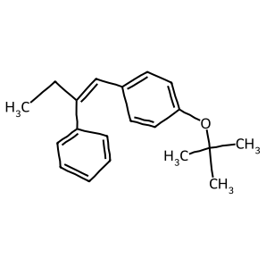 CC/C(=C/c1ccc(OC(C)(C)C)cc1)c1ccccc1